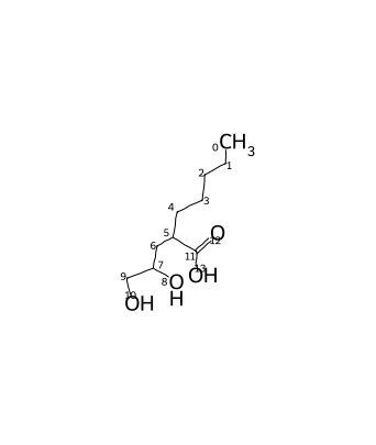 CCCCCC(CC(O)CO)C(=O)O